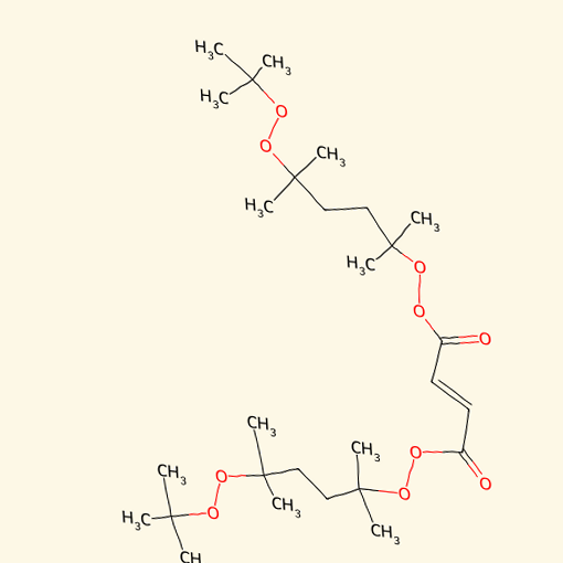 CC(C)(C)OOC(C)(C)CCC(C)(C)OOC(=O)C=CC(=O)OOC(C)(C)CCC(C)(C)OOC(C)(C)C